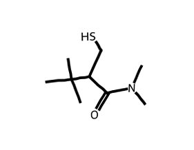 CN(C)C(=O)C(CS)C(C)(C)C